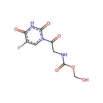 O=C(NCC(=O)n1cc(F)c(=O)[nH]c1=O)OCO